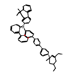 CCC1=CC(C)(c2ccc(-c3ccc(-c4ccc(N(c5ccc6c(c5)C(C)(C)c5ccccc5-6)c5ccccc5-c5ccccc5)cc4)cc3)cc2)CC(CC)C1